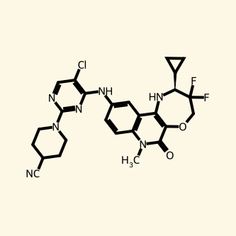 Cn1c(=O)c2c(c3cc(Nc4nc(N5CCC(C#N)CC5)ncc4Cl)ccc31)N[C@@H](C1CC1)C(F)(F)CO2